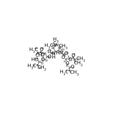 C=C(C)C(=O)COCC(COC(=O)C(=C)C)OC(=O)NCC1(C)CC(NC(=O)OC(COCC(O)C(=C)C)COC(=O)C(=C)C)CC(C)(C)C1